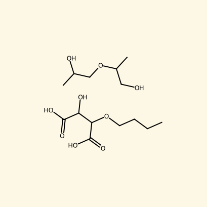 CC(O)COC(C)CO.CCCCOC(C(=O)O)C(O)C(=O)O